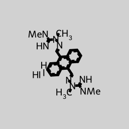 CNC(=N)N(C)N=Cc1c2ccccc2c(C=NN(C)C(=N)NC)c2ccccc12.I.I